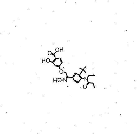 CCC(=O)N(CC)c1ccc(/C(COc2ccc(C(=O)O)c(O)c2)=N/O)cc1C(C)(C)C